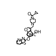 O=C(C1CC1)N1CCN(Cc2coc3cc(Oc4nc5ncccc5s4)ccc23)CC1.O=CO